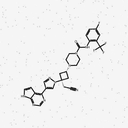 N#CC[C@]1(n2cc(-c3ncnc4[nH]ccc34)cn2)C[C@H](N2CCN(C(=O)Nc3ccc(F)cc3C(F)(F)F)CC2)C1